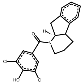 O=C(c1cc(Cl)c(O)c(Cl)c1)N1CCCC2c3ccccc3C[C@@H]21